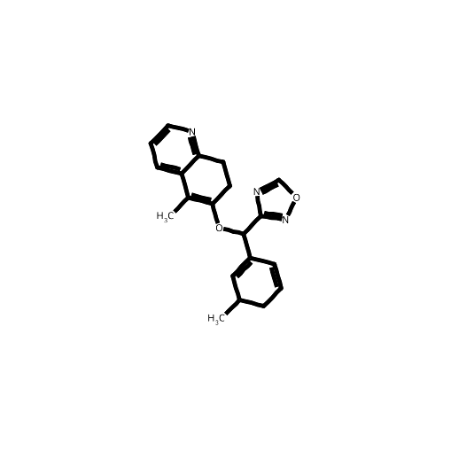 CC1=C(OC(C2=CC(C)CC=C2)c2ncon2)CCc2ncccc21